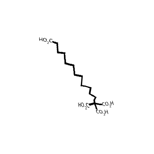 O=C(O)CCCCCCCCCCCC(C(=O)O)(C(=O)O)C(=O)O